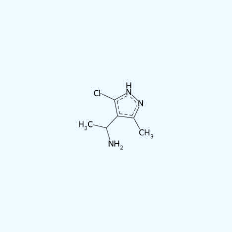 Cc1n[nH]c(Cl)c1C(C)N